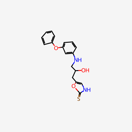 OC(CNc1cccc(Oc2ccccc2)c1)Cc1c[nH]c(=S)o1